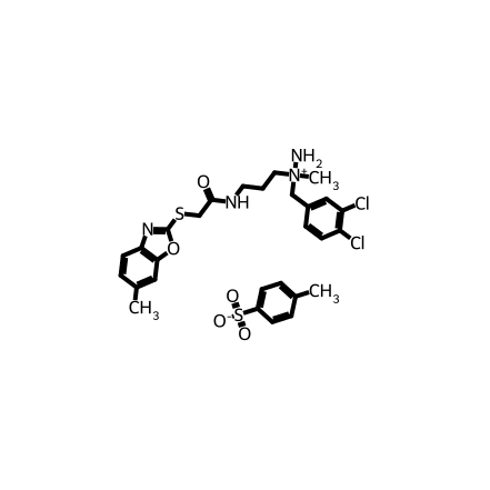 Cc1ccc(S(=O)(=O)[O-])cc1.Cc1ccc2nc(SCC(=O)NCCC[N+](C)(N)Cc3ccc(Cl)c(Cl)c3)oc2c1